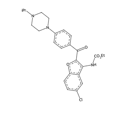 CCOC(=O)Nc1c(C(=O)c2ccc(N3CCN(C(C)C)CC3)cc2)oc2ccc(Cl)cc12